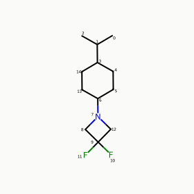 CC(C)C1CCC(N2CC(F)(F)C2)CC1